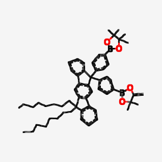 C=C1OB(c2ccc(C3(c4ccc(B5OC(C)(C)C(C)(C)O5)cc4)c4ccccc4-c4cc5c(cc43)-c3ccccc3C5(CCCCCCCC)CCCCCCCC)cc2)OC1(C)C